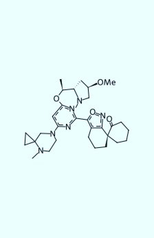 CO[C@@H]1C[C@@H]([C@H](C)Oc2cc(N3CCN(C)C4(CC4)C3)nc(-c3onc4c3CCC[C@@]43CCCCC3=O)n2)N(C)C1